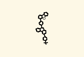 CC(C)(C)c1ccc(-c2ccc3cc(-c4ccc(-c5cccc6c5oc5ccccc56)cc4)c4ccccc4c3c2)cc1